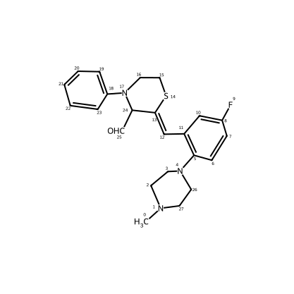 CN1CCN(c2ccc(F)cc2C=C2SCCN(c3ccccc3)C2C=O)CC1